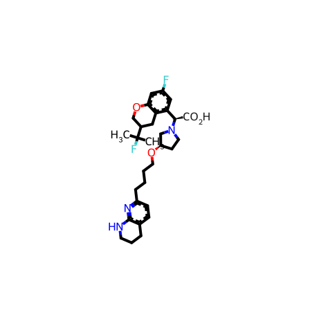 CC(C)(F)C1COc2cc(F)cc([C@@H](C(=O)O)N3CC[C@@H](OCCCCc4ccc5c(n4)NCCC5)C3)c2C1